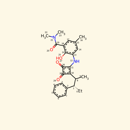 CC[C@H](c1ccccc1)C(C)c1c(Nc2cc(C)cc(C(=O)N(C)C)c2O)c(=O)c1=O